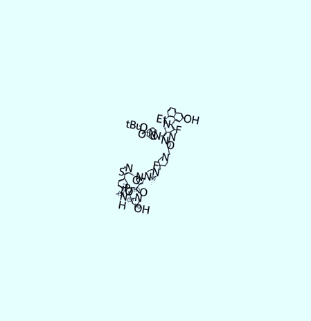 CCc1cccc2cc(O)cc(-c3ncc4c(N5CC6CCCC5CN6C(=O)OC(C)(C)C)nc(OCCN5CCC(F)(CN6CCN(c7cc([C@@H](C(=O)N8C[C@H](O)C[C@H]8C(=O)N[C@@H](C)c8ccc(-c9scnc9C)cc8)C(C)C)on7)[C@@H](C)C6)CC5)nc4c3F)c12